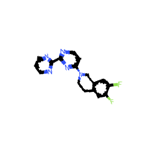 Fc1cc2c(cc1F)CN(c1ccnc(-c3ncccn3)n1)CC2